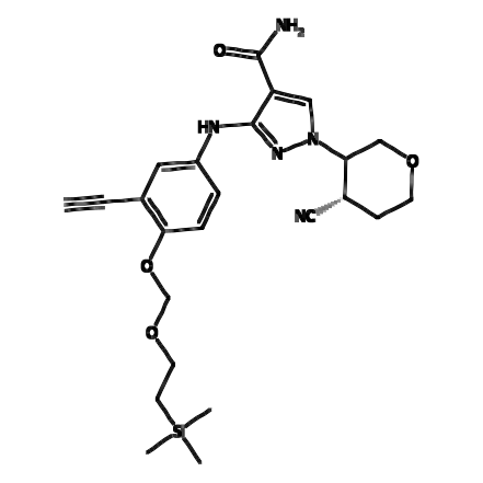 C#Cc1cc(Nc2nn(C3COCC[C@@H]3C#N)cc2C(N)=O)ccc1OCOCC[Si](C)(C)C